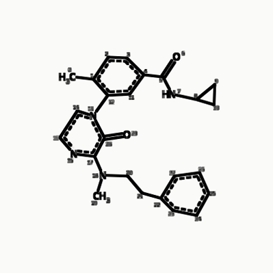 Cc1ccc(C(=O)NC2CC2)cc1-n1ccnc(N(C)CCc2ccccc2)c1=O